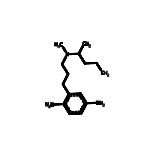 CCCC(C)N(C)CCCc1cc(N)ccc1N